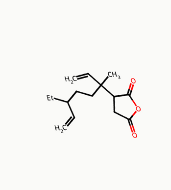 C=CC(CC)CCC(C)(C=C)C1CC(=O)OC1=O